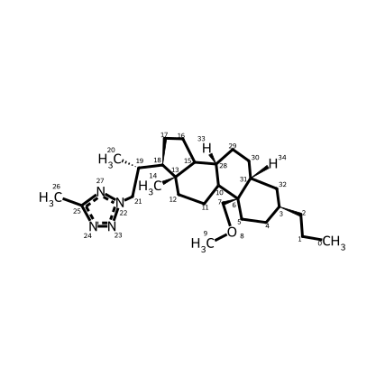 CCC[C@H]1CC[C@]2(COC)C3CC[C@@]4(C)C(CC[C@@H]4[C@@H](C)Cn4nnc(C)n4)[C@@H]3CC[C@@H]2C1